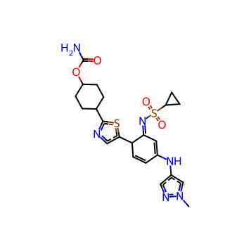 Cn1cc(NC2=CC(=NS(=O)(=O)C3CC3)C(c3cnc(C4CCC(OC(N)=O)CC4)s3)C=C2)cn1